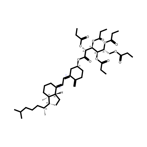 C=C1CC[C@H](OC(=O)[C@H](OC(=O)CC)[C@@H](OC(=O)CC)[C@H](OC(=O)CC)[C@@H](COC(=O)CC)OC(=O)CC)C/C1=C/C=C1\CCC[C@]2(C)[C@@H]([C@H](C)CCCC(C)C)CC[C@@H]12